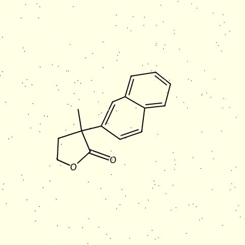 CC1(c2ccc3ccccc3c2)CCOC1=O